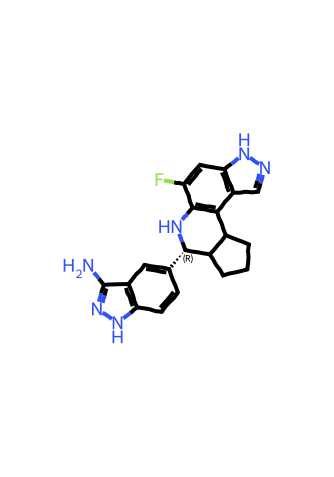 Nc1n[nH]c2ccc([C@@H]3Nc4c(F)cc5[nH]ncc5c4C4CCCC43)cc12